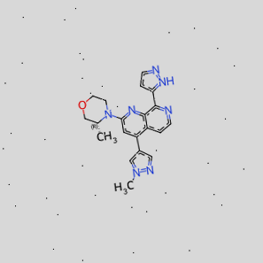 C[C@@H]1COCCN1c1cc(-c2cnn(C)c2)c2ccnc(-c3ccn[nH]3)c2n1